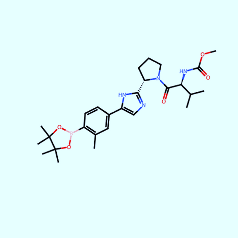 COC(=O)N[C@H](C(=O)N1CCC[C@H]1c1ncc(-c2ccc(B3OC(C)(C)C(C)(C)O3)c(C)c2)[nH]1)C(C)C